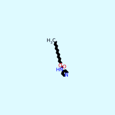 CCCCCCCCCCCCOC(=O)Nc1ccncc1